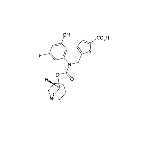 O=C(O)c1ccc(CN(C(=O)O[C@H]2CN3CCC2CC3)c2cc(O)cc(F)c2)s1